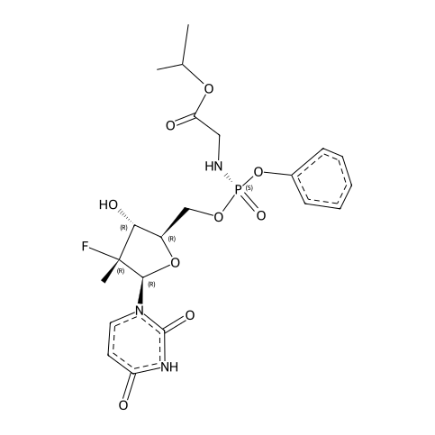 CC(C)OC(=O)CN[P@](=O)(OC[C@H]1O[C@@H](n2ccc(=O)[nH]c2=O)[C@](C)(F)[C@@H]1O)Oc1ccccc1